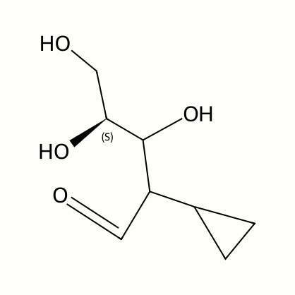 O=CC(C1CC1)C(O)[C@@H](O)CO